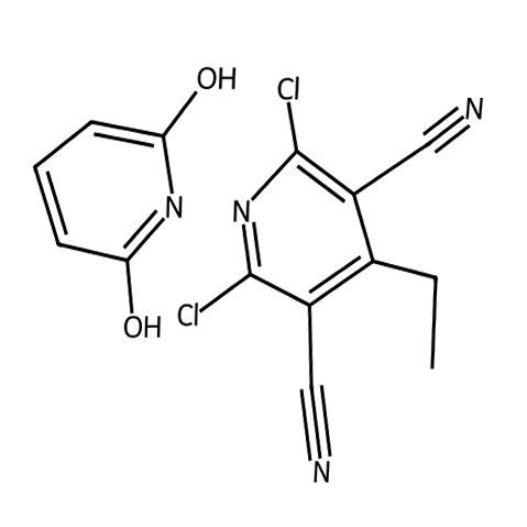 CCc1c(C#N)c(Cl)nc(Cl)c1C#N.Oc1cccc(O)n1